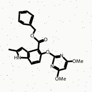 COc1cc(OC)nc(Oc2ccc3[nH]c(C)cc3c2C(=O)OCc2ccccc2)n1